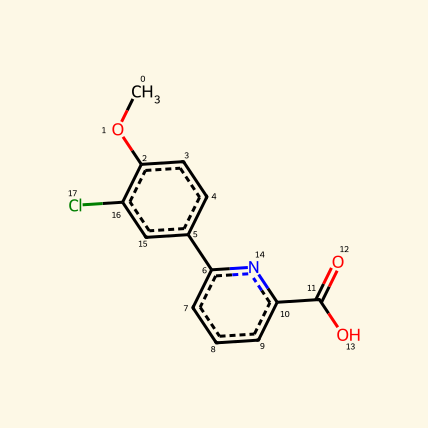 COc1ccc(-c2cccc(C(=O)O)n2)cc1Cl